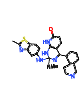 CNC1(Nc2ccc3sc(C)nc3c2)N=C(c2cccc3cnccc23)c2ccc(=O)[nH]c2N1